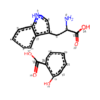 NC(Cc1c[nH]c2ccccc12)C(=O)O.O=C(O)c1ccccc1O